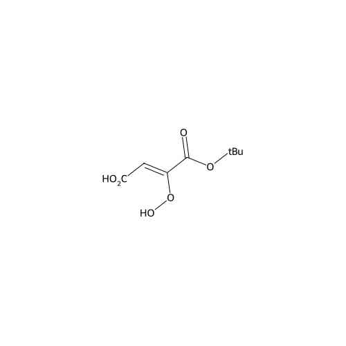 CC(C)(C)OC(=O)C(=CC(=O)O)OO